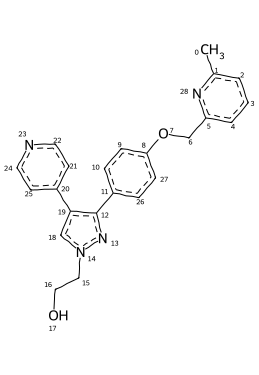 Cc1cccc(COc2ccc(-c3nn(CCO)cc3-c3ccncc3)cc2)n1